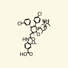 COc1cc(C(=O)O)ccc1NC(=O)C[C@@]1(C)C[C@H](c2cccc(Cl)c2)[C@@H](c2ccc(Cl)cc2)N([C@H](CS(=N)(=O)C(C)C)C(C)C)C1=O